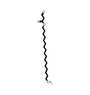 CCCCCCCCCCCCCCCCCCOC(=O)CC=O